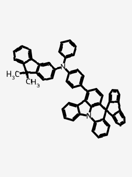 CC1(C)c2ccccc2-c2cc(N(c3ccccc3)c3ccc(-c4ccc5c6c4c4ccccc4n6-c4ccccc4C54c5ccccc5-c5ccccc54)cc3)ccc21